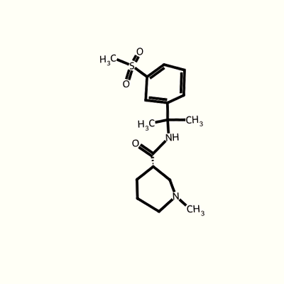 CN1CCC[C@H](C(=O)NC(C)(C)c2cccc(S(C)(=O)=O)c2)C1